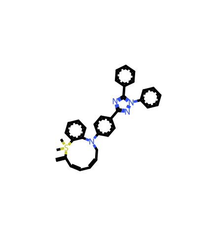 C=C1/C=C\C=C/CN(c2ccc(-c3nc(-c4ccccc4)n(-c4ccccc4)n3)cc2)c2ccccc2S1(C)C